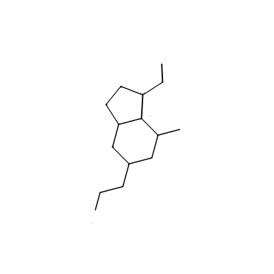 CC1CC(CCO)CC2CCC(CO)C12